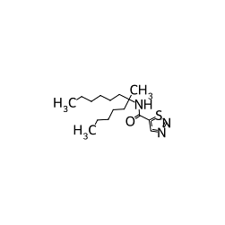 CCCCCCC(C)(CCCCC)NC(=O)c1cnns1